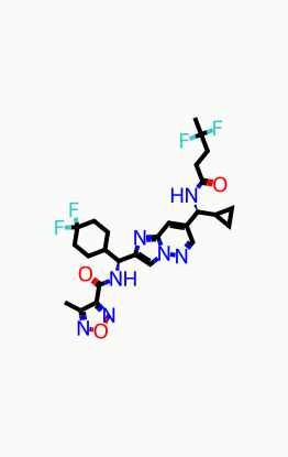 Cc1nonc1C(=O)N[C@H](c1cn2ncc([C@H](NC(=O)CCC(C)(F)F)C3CC3)cc2n1)C1CCC(F)(F)CC1